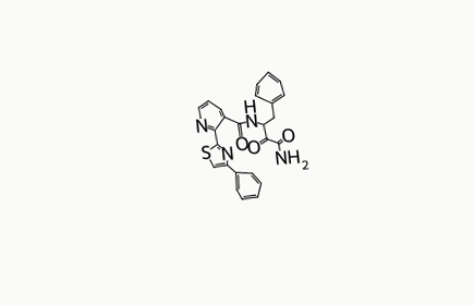 NC(=O)C(=O)C(Cc1ccccc1)NC(=O)c1cccnc1-c1nc(-c2ccccc2)cs1